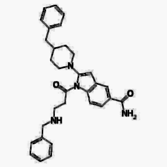 NC(=O)c1ccc2c(c1)cc(N1CCC(Cc3ccccc3)CC1)n2C(=O)CCNCc1ccccc1